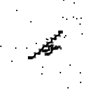 OCCO.OCCO.OCCOCCCOCCCOCCO.[CaH2]